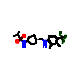 Cc1c(NC[C@H]2CC[C@H](NS(=O)(=O)C(C)C)CC2)ccc(C(F)(F)F)c1C